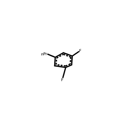 [CH2]CCc1cc(F)cc(F)c1